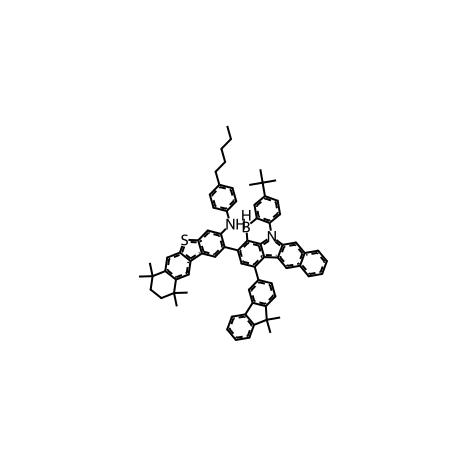 CCCCCc1ccc(Nc2cc3sc4cc5c(cc4c3cc2-c2cc(-c3ccc4c(c3)-c3ccccc3C4(C)C)c3c4cc6ccccc6cc4n4c3c2Bc2cc(C(C)(C)C)ccc2-4)C(C)(C)CCC5(C)C)cc1